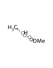 C/C=C/CC[C@@H]1CC[C@@H]2CC(C3CCc4cc(OC)ccc4C3)CCC2C1